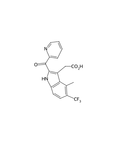 Cc1c(C(F)(F)F)ccc2[nH]c(C(=O)c3ccccn3)c(CC(=O)O)c12